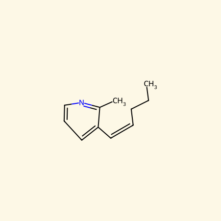 CCC/C=C\c1cccnc1C